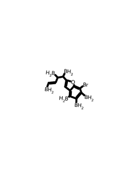 B/C=C/C(B)C(B)c1cc2c(B)c(B)c(B)c(Br)c2o1